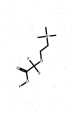 C[N+](C)(C)CCOC(F)(F)C(=O)OF